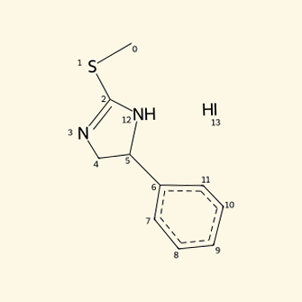 CSC1=NCC(c2ccccc2)N1.I